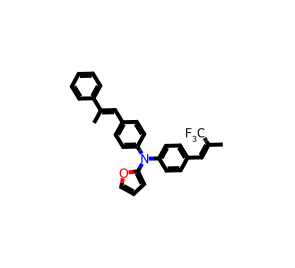 C/C(=C/c1ccc(N(c2ccc(/C=C(\C)c3ccccc3)cc2)c2ccco2)cc1)C(F)(F)F